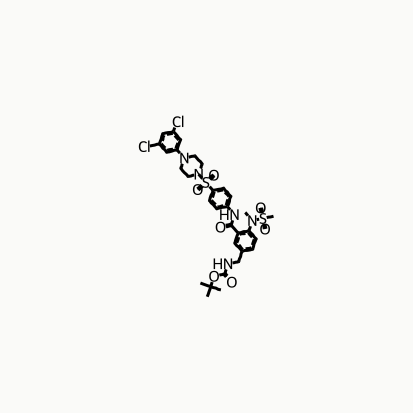 CN(c1ccc(CNC(=O)OC(C)(C)C)cc1C(=O)Nc1ccc(S(=O)(=O)N2CCN(c3cc(Cl)cc(Cl)c3)CC2)cc1)S(C)(=O)=O